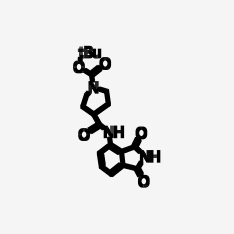 CC(C)(C)OC(=O)N1CCC(C(=O)Nc2cccc3c2C(=O)NC3=O)CC1